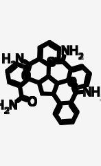 NC(=O)c1ccccc1C1CC(c2ccccc2C(N)=O)C(c2ccccc2C(N)=O)C1c1ccccc1C(N)=O